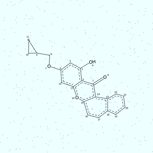 O=c1c2c(O)cc(OCC3CS3)cc2oc2ccc3ccccc3c12